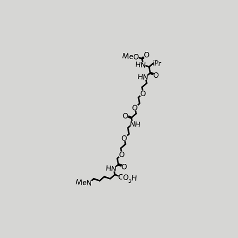 CNCCCCC(NC(=O)COCCOCCNC(=O)COCCOCCNC(=O)C(NC(=O)OC)C(C)C)C(=O)O